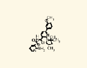 COc1cccc(-c2ccc(C(=O)NS(=O)(=O)c3cccnc3N)c(N3C[C@@H](C)CC3(C)C)n2)c1